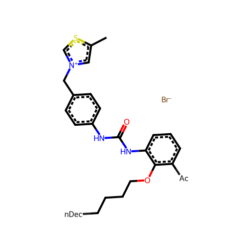 CCCCCCCCCCCCCCOc1c(NC(=O)Nc2ccc(C[n+]3csc(C)c3)cc2)cccc1C(C)=O.[Br-]